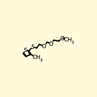 COCCOCOCCSc1sccc1C